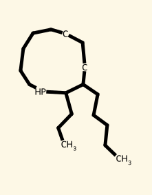 CCCCCC1CCCCCCCCPC1CCC